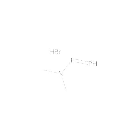 Br.CN(C)P=P